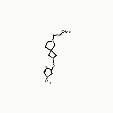 COCCN1CCC2(C1)CN(Sc1cn(C)cn1)C2